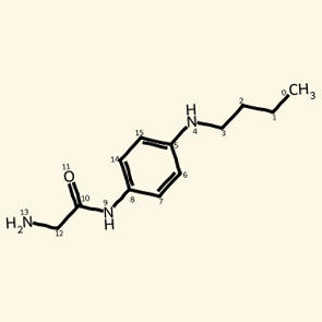 CCCCNc1ccc(NC(=O)CN)cc1